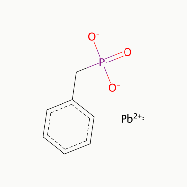 O=P([O-])([O-])Cc1ccccc1.[Pb+2]